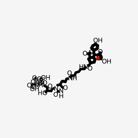 O=C(CCCCCNC(=O)c1ccc2c(c1)C(=O)OC21c2ccc(O)cc2Oc2cc(O)ccc21)NCC=CC1CN(C2CC(O)C(COP(=O)(O)OP(=O)(O)OP(=O)(O)O)O2)C(=O)NC1=O